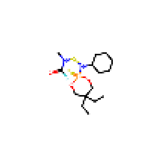 CCC1(CC)COP(=S)(N(SN(C)C(=O)F)C2CCCCC2)OC1